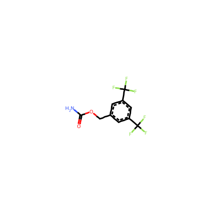 NC(=O)OCc1cc(C(F)(F)F)cc(C(F)(F)F)c1